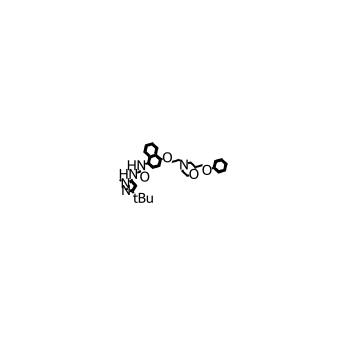 Cn1nc(C(C)(C)C)cc1NC(=O)Nc1ccc(OCCN2CCOC(COc3ccccc3)C2)c2ccccc12